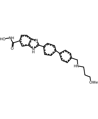 COCCCNCc1ccc(-c2ccc(-c3nc4ccc(C(=O)NO)cc4[nH]3)cc2)cc1